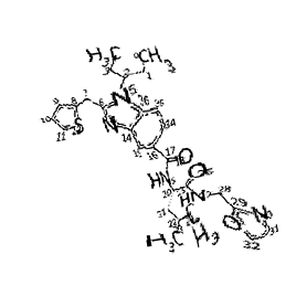 CCC(CC)n1c(Cc2cccs2)nc2cc(C(=O)N[C@@H](CC(C)C)C(=O)NCc3ncco3)ccc21